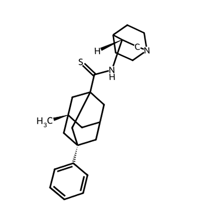 C[C@]12CC3CC(C(=S)N[C@H]4CN5CCC4CC5)(C1)C[C@@](c1ccccc1)(C3)C2